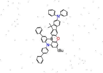 CC(C)(C)c1cc2c3c(c1)N(c1ccc(-c4ccccc4)cc1)c1ccc(-c4ccccc4)cc1B3c1cc3c(cc1O2)-c1ccc(N(c2ccccc2)c2ccccc2)cc1C3(C)C